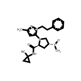 Cc1cc(N2C[C@H]([S+](C)[O-])C[C@H]2C(=O)NC2(C#N)CC2)n(CCc2ccccc2)n1